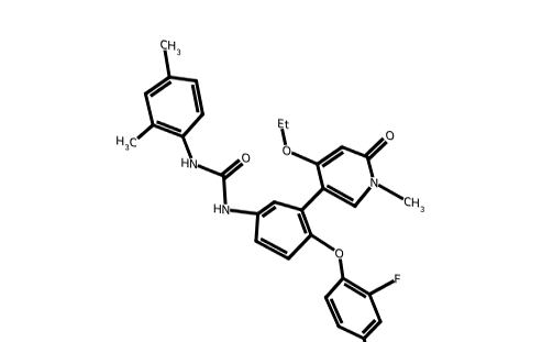 CCOc1cc(=O)n(C)cc1-c1cc(NC(=O)Nc2ccc(C)cc2C)ccc1Oc1ccc(F)cc1F